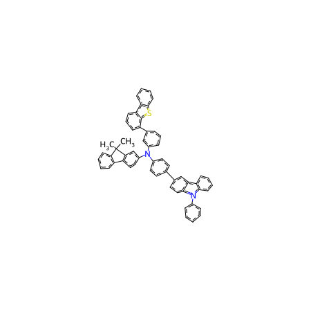 CC1(C)c2ccccc2-c2ccc(N(c3ccc(-c4ccc5c(c4)c4ccccc4n5-c4ccccc4)cc3)c3cccc(-c4cccc5c4sc4ccccc45)c3)cc21